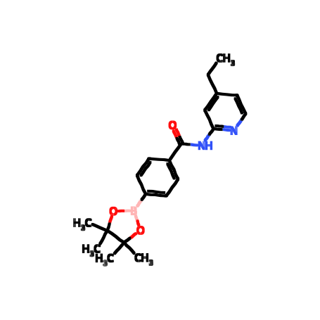 CCc1ccnc(NC(=O)c2ccc(B3OC(C)(C)C(C)(C)O3)cc2)c1